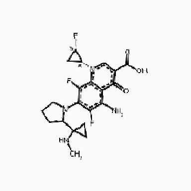 CNC1(C2CCCN2c2c(F)c(N)c3c(=O)c(C(=O)O)cn([C@@H]4C[C@@H]4F)c3c2F)CC1